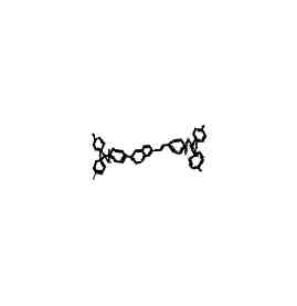 Cc1ccc(N(c2ccc(C)cc2)c2ccc(/C=C/c3ccc4cc(-c5ccc(N(c6ccc(C)cc6)c6ccc(C)cc6)cc5)ccc4c3)cc2)cc1